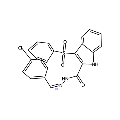 O=C(N/N=C\c1ccc(Cl)cc1)c1[nH]c2ccccc2c1S(=O)(=O)c1ccccc1